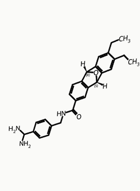 CCc1cc2c(cc1CC)[C@H]1O[C@@H]2c2ccc(C(=O)NCc3ccc(C(N)N)cc3)cc21